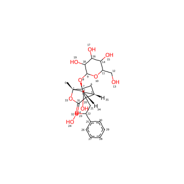 C[C@]12C[C@@H](O)[C@@H]3C[C@]1(OC1OC(CO)C(O)C(O)C1O)C3(CC(OO)c1ccccc1)C(=O)O2